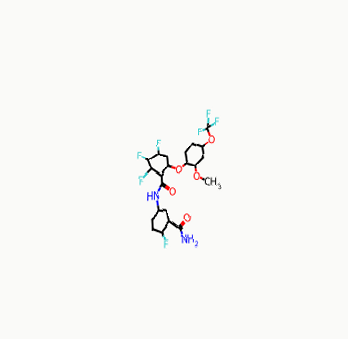 COC1CC(OC(F)(F)F)CCC1OC1CC(F)C(F)C(F)C1C(=O)NC1CCC(F)C(C(N)=O)C1